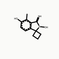 Cc1c(O)ccc2c1C(=N)N(O)C21CCC1